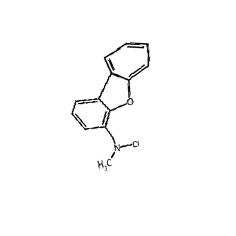 CN(Cl)c1cccc2c1oc1ccccc12